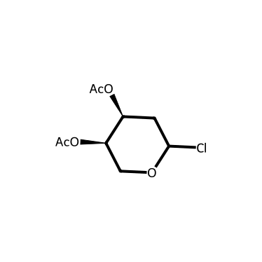 CC(=O)O[C@H]1CC(Cl)OC[C@H]1OC(C)=O